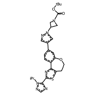 CC(C)n1ncnc1-c1nc2c(s1)CCOc1cc(-c3cnn(C4CN(C(=O)OC(C)(C)C)C4)c3)ccc1-2